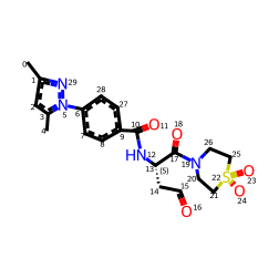 Cc1cc(C)n(-c2ccc(C(=O)N[C@@H](CC=O)C(=O)N3CCS(=O)(=O)CC3)cc2)n1